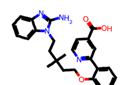 CC(C)(CCOc1ccccc1-c1cc(C(=O)O)ccn1)CCn1c(N)nc2ccccc21